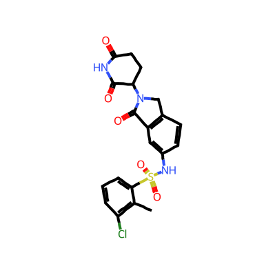 Cc1c(Cl)cccc1S(=O)(=O)Nc1ccc2c(c1)C(=O)N(C1CCC(=O)NC1=O)C2